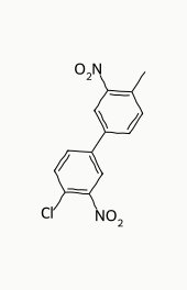 Cc1ccc(-c2ccc(Cl)c([N+](=O)[O-])c2)cc1[N+](=O)[O-]